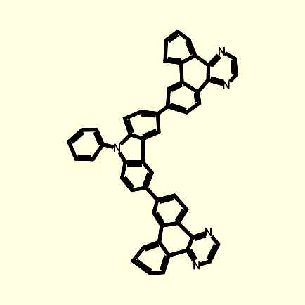 c1ccc(-n2c3ccc(-c4ccc5c(c4)c4ccccc4c4nccnc54)cc3c3cc(-c4ccc5c(c4)c4ccccc4c4nccnc54)ccc32)cc1